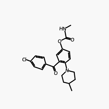 CNC(=O)Oc1ccc(N2CCC(C)CC2)c(C(=O)c2ccc(Cl)cc2)c1